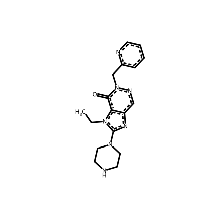 CCn1c(N2CCNCC2)nc2cnn(Cc3ccccn3)c(=O)c21